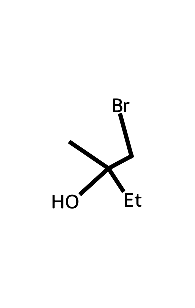 [CH2]CC(C)(O)CBr